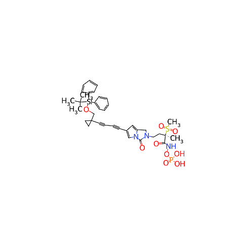 CC(C)(C)[Si](OCC1(C#CC#Cc2cc3n(c2)C(=O)N(CC[C@](C)(C(=O)NOP(=O)(O)O)S(C)(=O)=O)C3)CC1)(c1ccccc1)c1ccccc1